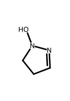 ON1CCC=N1